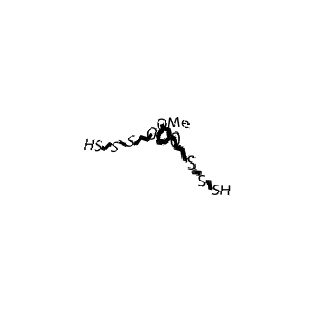 COc1cc(OCCCSCCSCCS)ccc1OCCCSCCSCCS